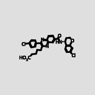 O=C(O)CCCCc1nc2cc(C(=O)N[C@@H]3CCOc4cc(Cl)ccc43)ccc2nc1-c1ccc(Cl)cc1